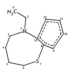 CCN1CCCCSc2ccccc21